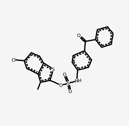 Cc1c(OS(=O)(=O)Nc2ccc(C(=O)c3ccccc3)cc2)sc2ccc(Cl)cc12